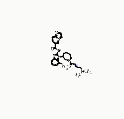 Cc1cccc2nc(NC(=O)c3ccc4nccn4c3)n(C3CCCCN(C(=O)/C=C/CN(C)C)C3)c12